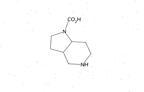 O=C(O)N1CCC2CNCCC21